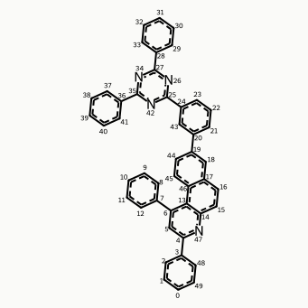 c1ccc(-c2cc(-c3ccccc3)c3c(ccc4cc(-c5cccc(-c6nc(-c7ccccc7)nc(-c7ccccc7)n6)c5)ccc43)n2)cc1